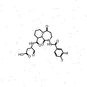 O=CC(CC(=O)O)NC(=O)C1CCCN2C(=O)CCN(NC(=O)c3ccc(F)c(F)c3)C(=O)N12